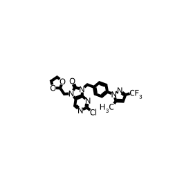 Cc1cc(C(F)(F)F)nn1-c1ccc(Cn2c(=O)n(CC3OCCO3)c3cnc(Cl)nc32)cc1